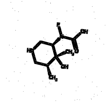 C[C@H]1CNC[C@@H](N(F)C(=O)O)[C@]1(C)O